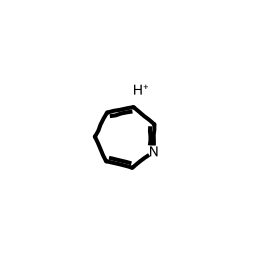 C1=CCC=CN=C1.[H+]